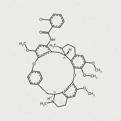 COc1cc(NC(=O)c2ccccc2Cl)c2cc1Oc1ccc(cc1)C[C@H]1c3cc(c(OC)cc3CCN1C)Oc1c(OC)c(OC)cc3c1[C@H](C2)N(C)CC3